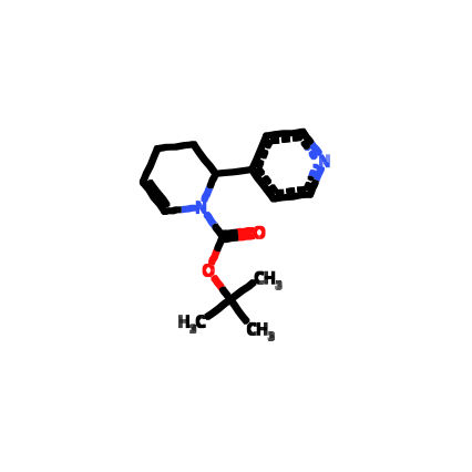 CC(C)(C)OC(=O)N1C=CCCC1c1ccncc1